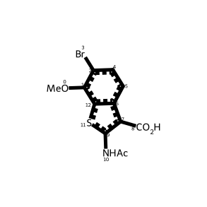 COc1c(Br)ccc2c(C(=O)O)c(NC(C)=O)sc12